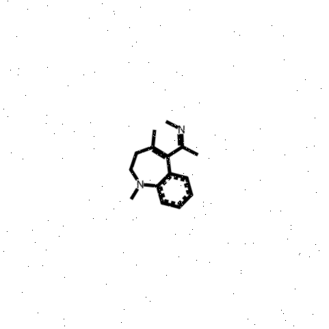 C/N=C(/C)C1=C(C)CCN(C)c2ccccc21